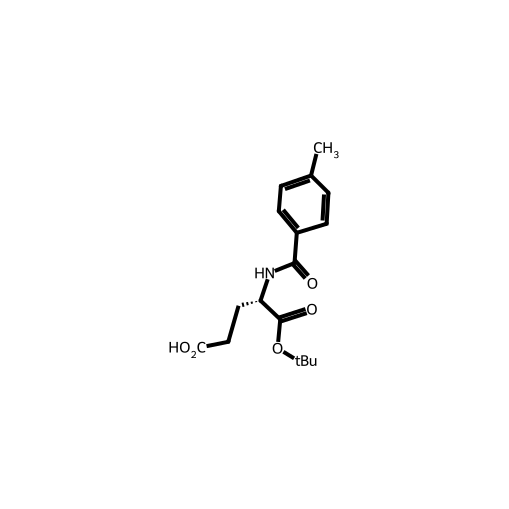 Cc1ccc(C(=O)N[C@@H](CCC(=O)O)C(=O)OC(C)(C)C)cc1